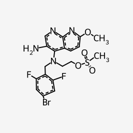 COc1ccc2c(N(CCOS(C)(=O)=O)Cc3c(F)cc(Br)cc3F)c(N)cnc2n1